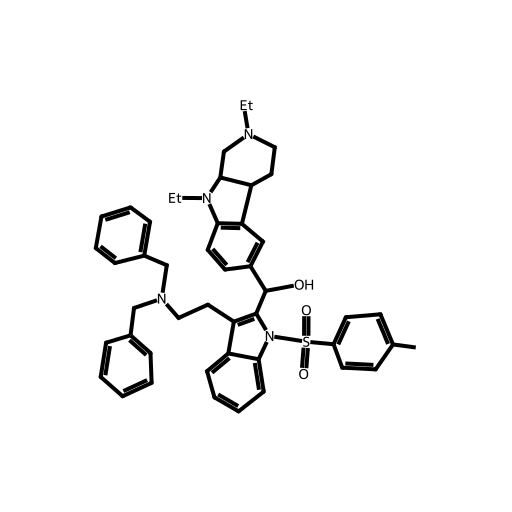 CCN1CCC2c3cc(C(O)c4c(CCN(Cc5ccccc5)Cc5ccccc5)c5ccccc5n4S(=O)(=O)c4ccc(C)cc4)ccc3N(CC)C2C1